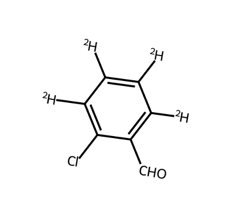 [2H]c1c([2H])c([2H])c(C=O)c(Cl)c1[2H]